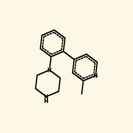 Cc1cc(-c2ccccc2N2CCNCC2)ccn1